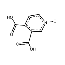 O=C(O)c1cc[n+]([O-])cc1C(=O)O